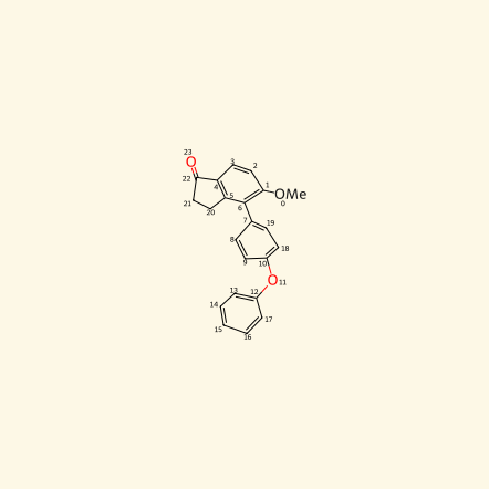 COc1ccc2c(c1-c1ccc(Oc3ccccc3)cc1)CCC2=O